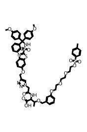 COc1ccc(C(NS(=O)(=O)c2nc3ccc(OCc4cn(CC(=O)NC(C(=O)O)C(C)OCc5cccc(OCCOCCOCCOS(=O)(=O)c6ccc(C)cc6)c5)nn4)cc3s2)(c2ccccc2)c2ccc(OC)cc2)cc1